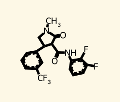 CN1CC(c2cccc(C(F)(F)F)c2)C(C(=O)Nc2cccc(F)c2F)C1=O